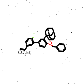 CCOC(=O)/C=C/c1ccc(F)c(-c2ccc(OCc3ccccc3)c(C34CC5CC(CC(C5)C3)C4)c2)c1